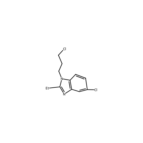 CCc1nc2cc(Cl)ccc2n1CCCCl